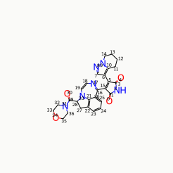 O=C1NC(=O)C(c2cnn3c2CCCC3)=C1C1=NC=CN2c3c(cccc31)CC2C(=O)N1CCOCC1